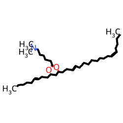 CCCCC/C=C\CCCCCCCC/C=C/CCC(CCCC/C=C/CCCCC)OC(=O)CCCCCN(C)C